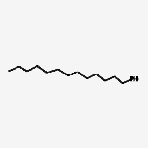 CCCCCCCCCCCCC[PH]